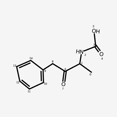 CC(NC(=O)O)C(=O)Cc1ccccc1